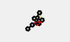 c1ccc(-c2ccc(N(c3ccccc3)c3cccc4c3C3(c5ccccc5-c5ccccc53)c3sc5ccccc5c3-4)cc2)cc1